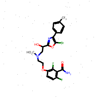 NC(=O)c1c(F)ccc(OCCN(CC(O)c2nc(-c3ccc(C(F)(F)F)cc3)c(Br)o2)C(=O)O)c1F